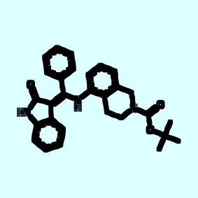 CC(C)(C)OC(=O)N1CCc2c(cccc2NC(=C2C(=O)Nc3ccccc32)c2ccccc2)C1